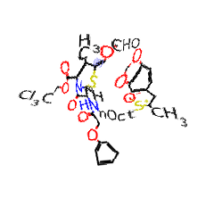 CC1=C(C(=O)OCC(Cl)(Cl)Cl)N2C(=O)C(NC(=O)COc3ccccc3)[C@H]2S/C1=C/OC=O.CCCCCCCC[S+]([O-])C(C)Cc1ccc2c(c1)OCO2